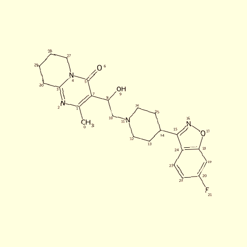 Cc1nc2n(c(=O)c1C(O)CN1CCC(c3noc4cc(F)ccc34)CC1)CCCC2